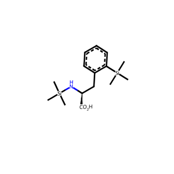 C[Si](C)(C)N[C@@H](Cc1ccccc1[Si](C)(C)C)C(=O)O